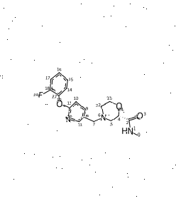 CNC(=O)[C@@H]1CN(Cc2ccc(Oc3ccccc3F)nc2)CCO1